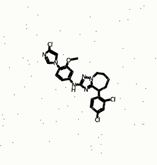 COc1cc(Nc2nc3n(n2)CCCCC3c2ccc(Cl)cc2Cl)ccc1-n1cnc(Cl)c1